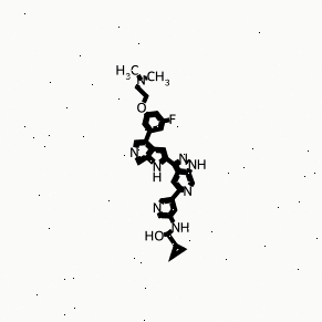 CN(C)CCOc1cc(F)cc(-c2cncc3[nH]c(-c4n[nH]c5cnc(-c6cncc(NC(O)C7CC7)c6)cc45)cc23)c1